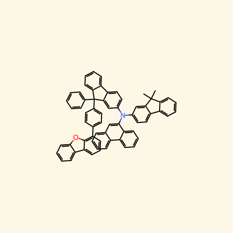 CC1(C)c2ccccc2-c2ccc(N(c3ccc4c(c3)C(c3ccccc3)(c3ccc(-c5cccc6c5oc5ccccc56)cc3)c3ccccc3-4)c3cc4ccccc4c4ccccc34)cc21